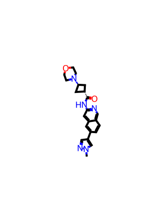 Cn1cc(-c2ccc3cnc(NC(=O)[C@H]4C[C@H](N5CCOCC5)C4)cc3c2)cn1